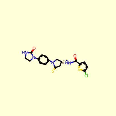 O=C(NC[C@@H]1CC(=S)N(c2ccc(N3CCNC3=O)cc2)C1)c1ccc(Cl)s1